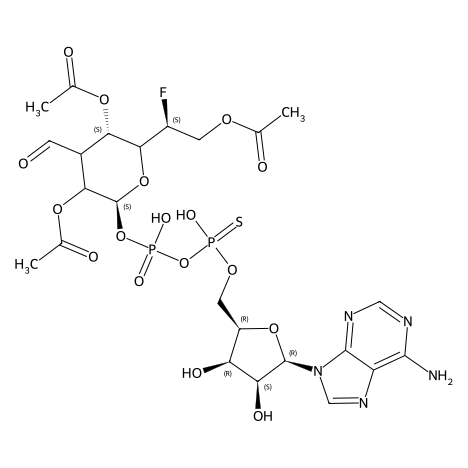 CC(=O)OC[C@H](F)C1O[C@@H](OP(=O)(O)OP(O)(=S)OC[C@H]2O[C@@H](n3cnc4c(N)ncnc43)[C@@H](O)[C@H]2O)C(OC(C)=O)C(C=O)[C@@H]1OC(C)=O